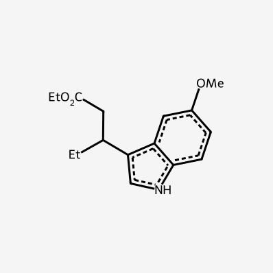 CCOC(=O)CC(CC)c1c[nH]c2ccc(OC)cc12